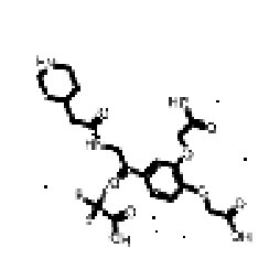 O=C(O)C(F)(F)F.O=C(O)COc1ccc(C(=O)CNC(=O)CC2CCNCC2)cc1OCC(=O)O